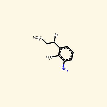 CC[C@H](CC(=O)O)c1cccc(N)c1C